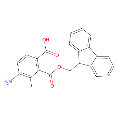 Cc1c(N)ccc(C(=O)O)c1C(=O)OCC1c2ccccc2-c2ccccc21